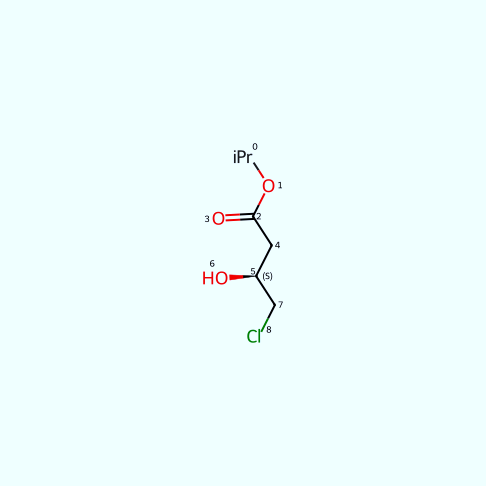 CC(C)OC(=O)C[C@H](O)CCl